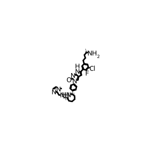 C[C@H](N)CCCc1cc(Cl)c(F)c(-c2cc3cn(-c4ccc([C@@H]5CCCC[C@@H](CNCc6nccn6C)N5)cc4)c(=O)nc3[nH]2)c1